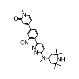 CN(c1ccc(-c2ccc(-c3ccn(C)c(=O)c3)cc2N=O)nn1)C1CC(C)(C)NC(C)(C)C1